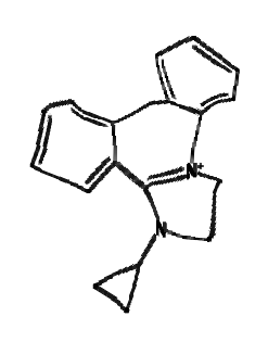 c1ccc2c(c1)c1[n+](c3ccccc23)CCN1C1CC1